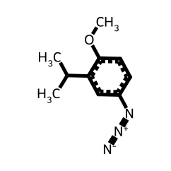 COc1ccc(N=[N+]=[N-])cc1C(C)C